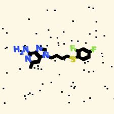 Cc1cc2c(ncn2CCCCSc2ccc(F)cc2F)c(N)n1